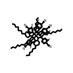 CCCCCCCCCC1CCC(C(C(Cc2ccc(C#N)c(F)c2)C2CCC(CCCC)CC2)(C(Cc2ccc(C#N)c(F)c2)C2CCC(CCCCCC)CC2)C(c2ccc(C#N)c(F)c2)(C(Cc2ccc(C#N)c(F)c2)C2CCC(CCCCCCC)CC2)C(Cc2ccc(C#N)c(F)c2)C2CCC(CCCCCCCC)CC2)CC1